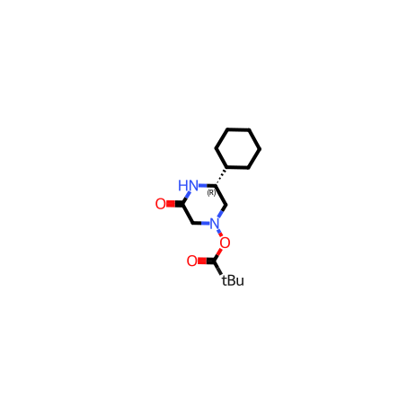 CC(C)(C)C(=O)ON1CC(=O)N[C@H](C2CCCCC2)C1